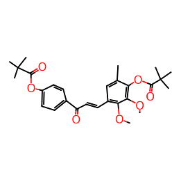 COc1c(C=CC(=O)c2ccc(OC(=O)C(C)(C)C)cc2)cc(C)c(OC(=O)C(C)(C)C)c1OC